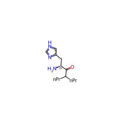 CCCC(CCC)C(=O)[C@@H](N)Cc1c[nH]cn1